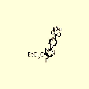 CCOC(=O)c1nc(N2CCN(C(=O)OC(C)(C)C)CC2)ncc1F